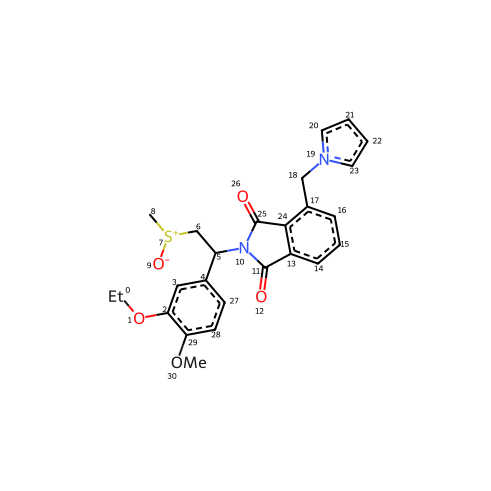 CCOc1cc(C(C[S+](C)[O-])N2C(=O)c3cccc(Cn4cccc4)c3C2=O)ccc1OC